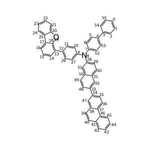 c1ccc(-c2ccc(N(c3ccc(-c4cccc5c4oc4ccccc45)cc3)c3ccc4cc(-c5ccc6c(ccc7ccccc76)c5)ccc4c3)cc2)cc1